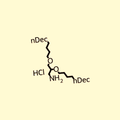 CCCCCCCCCCCCCCOCC(CN)OCCCCCCCCCCCCCC.Cl